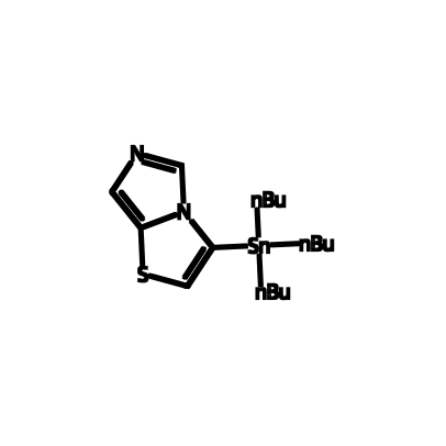 CCC[CH2][Sn]([CH2]CCC)([CH2]CCC)[c]1csc2cncn12